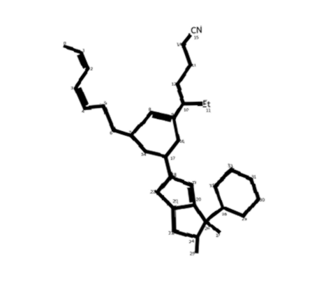 C/C=C\C=C/CCC1C=C(C(CC)CCCC#N)CC(C2C=C3C(C2)CC(C)C3(C)C2CCCCC2)C1